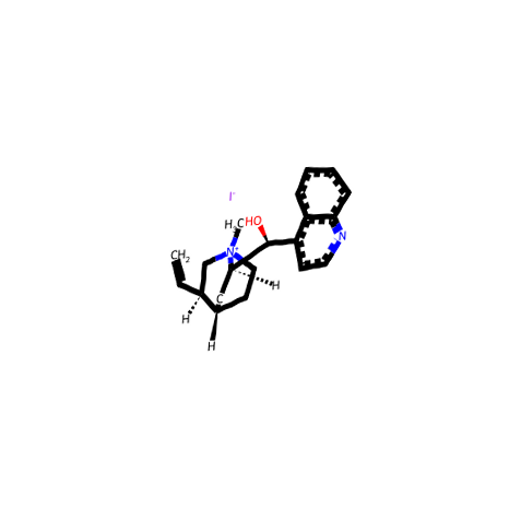 C=C[C@H]1C[N+]2(C)CC[C@H]1C[C@@H]2[C@@H](O)c1ccnc2ccccc12.[I-]